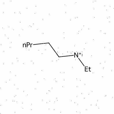 CCCCC[N+]CC